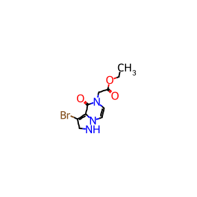 CCOC(=O)CN1C=CN2NCC(Br)=C2C1=O